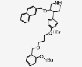 Br.CCCCOc1ccccc1COCCCOc1ccc(C2CCNCC2OCc2ccc3ccccc3c2)cc1